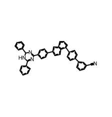 N#Cc1cccc(-c2ccc(-c3cccc4cc(-c5ccc(C6=NC(c7ccccc7)NC(c7ccccc7)=N6)cc5)ccc34)cc2)c1